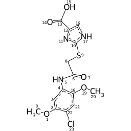 COc1cc(NC(=O)CSc2nc(C(=O)O)c[nH]2)c(OC)cc1Cl